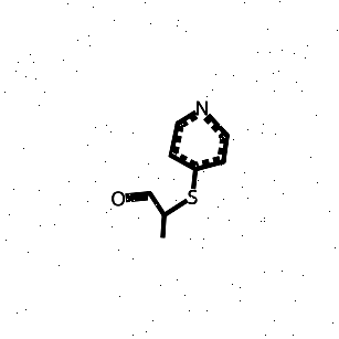 CC(C=O)Sc1ccncc1